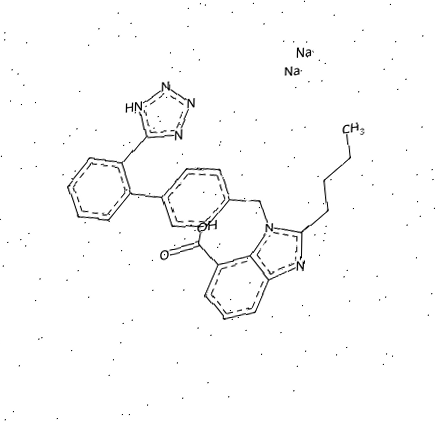 CCCCc1nc2cccc(C(=O)O)c2n1Cc1ccc(-c2ccccc2-c2nnn[nH]2)cc1.[Na].[Na]